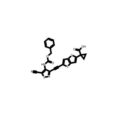 N#Cc1snc(C#Cc2cc3sc(C4(C(=O)O)CC4)cc3s2)c1NC(=O)OCc1ccccc1